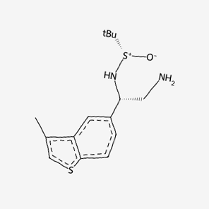 Cc1csc2ccc([C@@H](CN)N[S@@+]([O-])C(C)(C)C)cc12